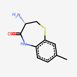 Cc1ccc2c(c1)SC[C@@H](N)C(=O)N2